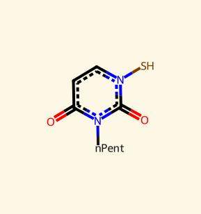 CCCCCn1c(=O)ccn(S)c1=O